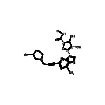 CCNC(=O)[C@H]1O[C@@H](n2cnc3c(N)nc(C#CCN4CCCC(C(C)=O)C4)nc32)[C@@H](O)C1O